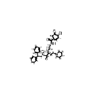 CN(CC(c1ccccc1)c1ccccc1)C(=O)[C@H](CCN1CCCCC1)NCCNC(=O)c1ccc(Cl)c(Cl)c1